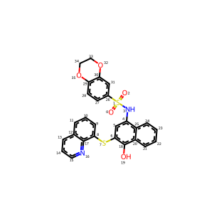 O=S(=O)(Nc1cc(Sc2cccc3cccnc23)c(O)c2ccccc12)c1ccc2c(c1)OCCO2